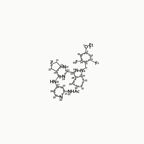 CCOc1cc(F)c(Cn2nc(-c3nc4c(c(Nc5ccnc(NC(C)=O)c5)n3)CSC4)c3ccccc32)c(F)c1